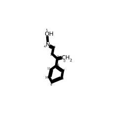 C=C(CC=NO)c1ccccc1